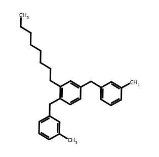 CCCCCCCCc1cc(Cc2cccc(C)c2)ccc1Cc1cccc(C)c1